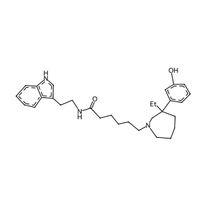 CCC1(c2cccc(O)c2)CCCCN(CCCCCC(=O)NCCc2c[nH]c3ccccc23)C1